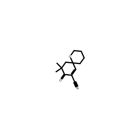 CC1(C)CC2(C=C(C#N)C1=O)CCCCO2